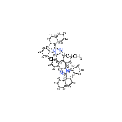 Cc1cc2c3nc(-c4cccc5ccccc45)n(C4=CC=CCC4C)c3c3cccc4c5nc(-c6cccc7ccccc67)n(C6=CCCC=C6)c5c(c1)c2c43